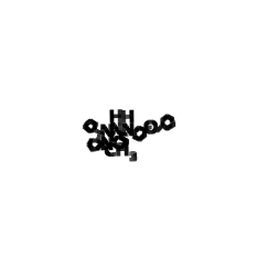 CN1C(=O)C(NC(=S)Nc2cccc(OCc3ccccc3)c2)N=C(c2ccccc2)c2ccccc21